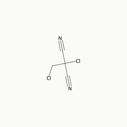 N#CC(Cl)(C#N)CCl